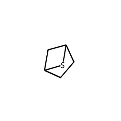 C1CC2CC1S2